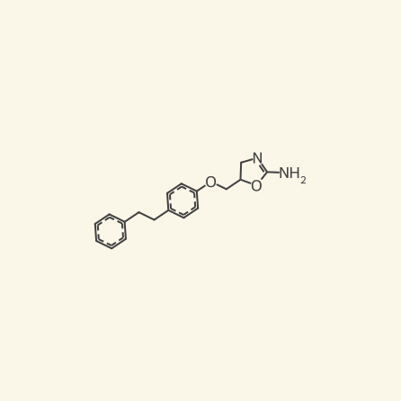 NC1=NCC(COc2ccc(CCc3ccccc3)cc2)O1